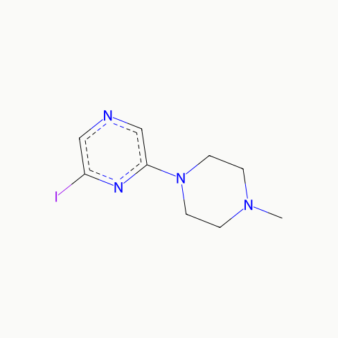 CN1CCN(c2cncc(I)n2)CC1